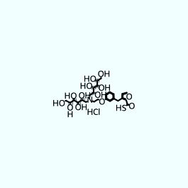 Cl.O=C(S)c1occc1Cc1cccc(OCCN(C[C@@H](O)[C@@H](O)[C@H](O)[C@H](O)CO)C[C@@H](O)[C@@H](O)[C@H](O)[C@H](O)CO)c1